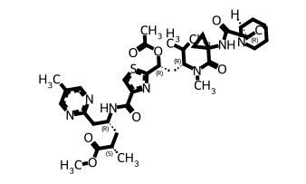 COC(=O)[C@@H](C)C[C@H](Cc1ncc(C)cn1)NC(=O)c1csc([C@@H](C[C@H](C(C)C)N(C)C(=O)C2(NC(=O)[C@H]3CC4CCN3CC4)CC2)OC(C)=O)n1